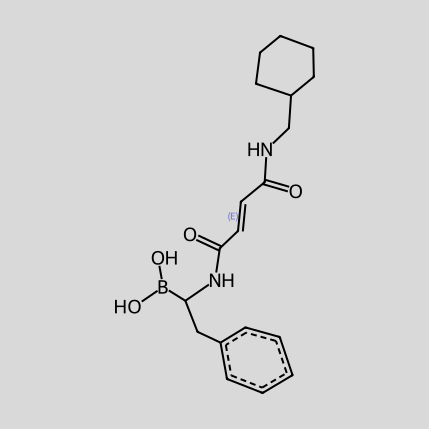 O=C(/C=C/C(=O)NC(Cc1ccccc1)B(O)O)NCC1CCCCC1